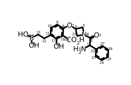 NC(C(=O)N1CC(Oc2ccc(CCB(O)O)c(O)c2C(=O)O)C1)c1ccccc1